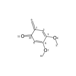 C=C1C=C(OC)C(OC)=CC1=O